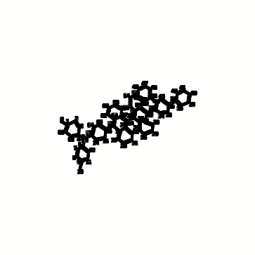 Cc1ccc(N(c2ccc(C)cc2)c2ccc(-c3c4ccccc4c(-c4c5ccccc5c(-c5ccc(-c6ccccc6)cc5-c5ccccc5)c5ccccc45)c4ccccc34)cc2)cc1